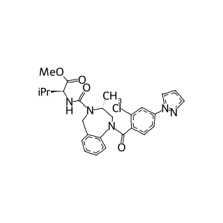 COC(=O)[C@@H](NC(=O)N1Cc2ccccc2N(C(=O)c2ccc(-n3cccn3)cc2Cl)C[C@H]1C)C(C)C